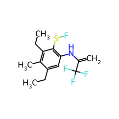 C=C(Nc1cc(CC)c(C)c(CC)c1SF)C(F)(F)F